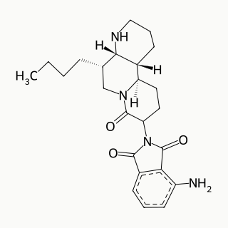 CCCC[C@H]1CN2C(=O)C(N3C(=O)c4cccc(N)c4C3=O)CC[C@@H]2[C@H]2CCCN[C@@H]12